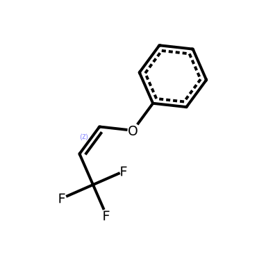 FC(F)(F)/C=C\Oc1ccccc1